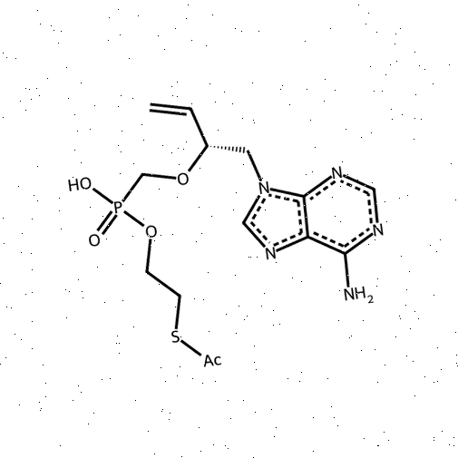 C=C[C@H](Cn1cnc2c(N)ncnc21)OCP(=O)(O)OCCSC(C)=O